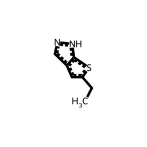 CCc1cc2cn[nH]c2s1